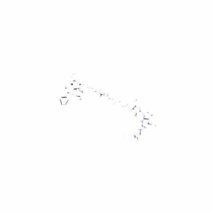 CC[C@H]1C[C@@H](OCCCCC(=O)NCCCCCCOC2[C@@H](CC)O[C@@H](n3cnc4c(=O)[nH]c(/N=C/N(C)C)nc43)[C@H]2O)[C@H](NC(C)=O)[C@@H](OC(=O)c2ccccc2)[C@H]1C